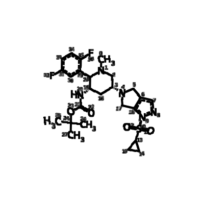 CN1C[C@H](N2Cc3cnn(S(=O)(=O)C4CC4)c3C2)C[C@H](NC(=O)OC(C)(C)C)C1c1cc(F)ccc1F